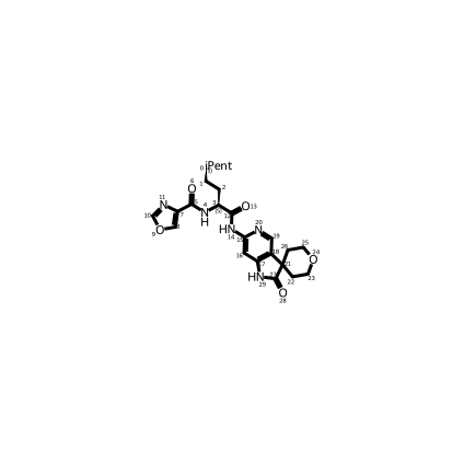 CCC[C@H](C)CC[C@H](NC(=O)c1cocn1)C(=O)Nc1cc2c(cn1)C1(CCOCC1)C(=O)N2